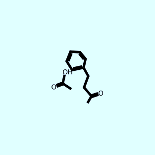 CC(=O)CCc1ccccc1.CC(=O)O